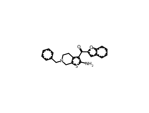 Nc1sc2c(c1C(=O)c1cc3ccccc3o1)CCN(Cc1ccccc1)C2